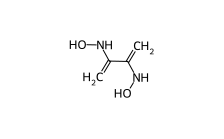 C=C(NO)C(=C)NO